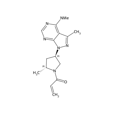 C=CC(=O)N1C[C@H](n2nc(C)c3c(NC)ncnc32)C[C@H]1C